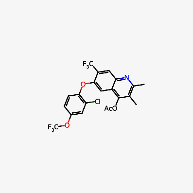 CC(=O)Oc1c(C)c(C)nc2cc(C(F)(F)F)c(Oc3ccc(OC(F)(F)F)cc3Cl)cc12